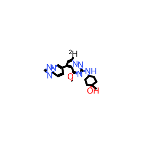 [2H]c1cc(-c2ccc3ncnn3c2)c2c(OC)nc(NC3CCC(C)(O)CC3)nn12